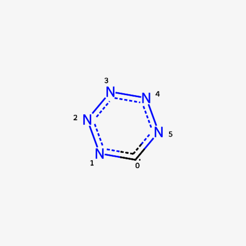 [c]1nnnnn1